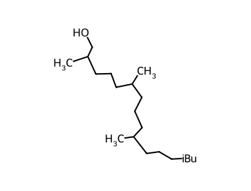 CCC(C)CCCC(C)CCCC(C)CCCC(C)CO